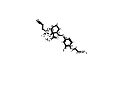 N#CCCS(=O)(=O)OC1(C(N)=O)CCCCC1CSc1ccc(SCCN)c(F)c1